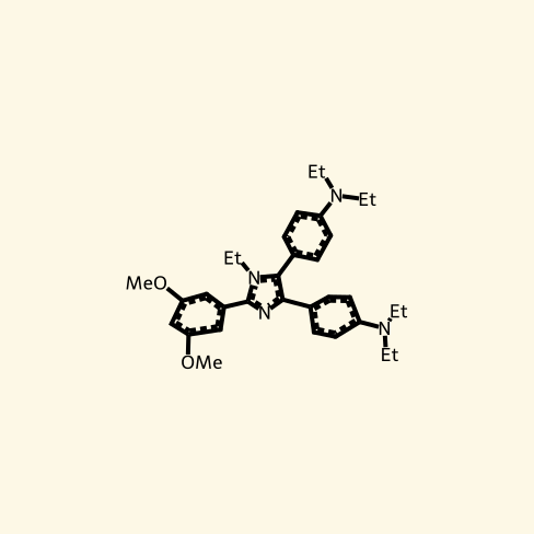 CCN(CC)c1ccc(-c2nc(-c3cc(OC)cc(OC)c3)n(CC)c2-c2ccc(N(CC)CC)cc2)cc1